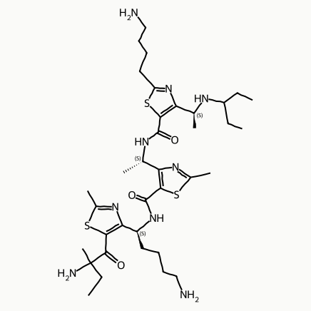 CCC(CC)N[C@@H](C)c1nc(CCCCN)sc1C(=O)N[C@@H](C)c1nc(C)sc1C(=O)N[C@@H](CCCCN)c1nc(C)sc1C(=O)C(C)(N)CC